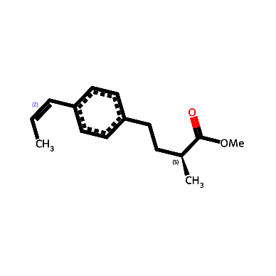 C/C=C\c1ccc(CC[C@H](C)C(=O)OC)cc1